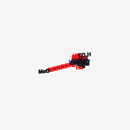 C=CCOC(=O)NCC1(OCC(=O)NCCC(=O)NCc2cc(COC(=O)N(C)[C@H](C(=O)N[C@H](C(=O)N(C)[C@@H]([C@@H](C)CC)[C@@H](CC(=O)N3CCC[C@H]3[C@H](OC)[C@@H](C)C(=O)N[C@H](C)[C@@H](O)c3ccccc3)OC)C(C)C)C(C)C)ccc2O[C@@H]2O[C@H](C(=O)O)[C@@H](O)[C@H](O)[C@H]2O)CN(C(=O)CCOCCOCCOCCOCCOCCOCCOCCOCCOCCOCCOCCOC)C1